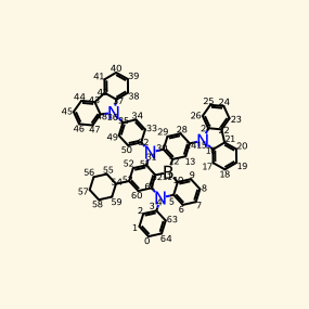 c1ccc(N2c3ccccc3B3c4cc(-n5c6ccccc6c6ccccc65)ccc4N(c4ccc(-n5c6ccccc6c6ccccc65)cc4)c4cc(C5CCCCC5)cc2c43)cc1